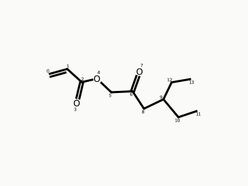 C=CC(=O)OCC(=O)CC(CC)CC